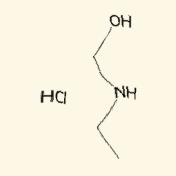 CCNCO.Cl